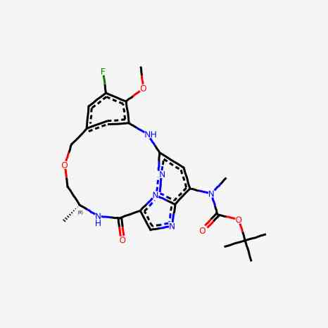 COc1c(F)cc2cc1Nc1cc(N(C)C(=O)OC(C)(C)C)c3ncc(n3n1)C(=O)N[C@H](C)COC2